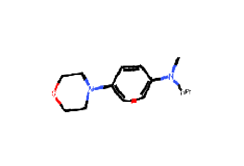 C\C=C(/C=C\C(=C/C)N1CCOCC1)N(C)CCC